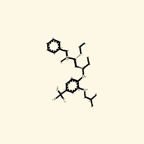 CCC[C@H](C[C@@H](CC)Oc1ccc(C(F)(F)F)cc1OCC(C)C)N(C)Cc1ccccc1